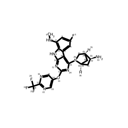 CNc1cc(F)cc2c1[nH]c1nc(Oc3cnc(C(F)(F)F)nc3)nc(N3C[C@@H]4C[C@H]3C[C@@H]4N)c12